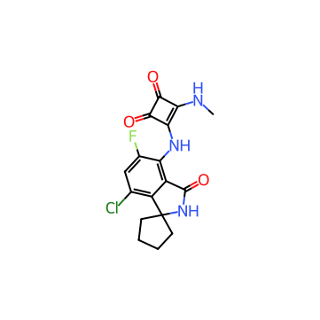 CNc1c(Nc2c(F)cc(Cl)c3c2C(=O)NC32CCCC2)c(=O)c1=O